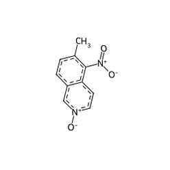 Cc1ccc2c[n+]([O-])ccc2c1[N+](=O)[O-]